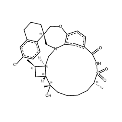 C[C@@H]1C[C@@H]2[C@@H]1CN1C[C@@]3(CCCc4cc(Cl)ccc43)COc3ccc(cc31)C(=O)NS(=O)(=O)[C@H](C)CCCC[C@]2(C)O